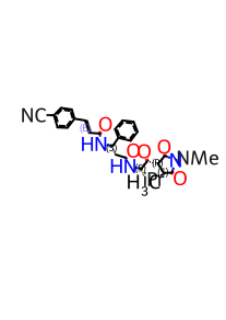 CNN1C(=O)[C@@H](C(=O)[C@@H](NC(=O)C[C@H](NC(=O)/C=C/c2ccc(C#N)cc2)c2ccccc2)C(C)C)[C@H](C)C1=O